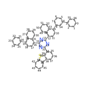 c1ccc(-c2cccc(-c3ccc(-c4nc(-c5ccc(-c6ccccc6)c6ccccc56)nc(-c5cccc6c5sc5ccccc56)n4)c4ccccc34)c2)cc1